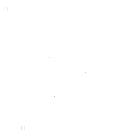 [CH2]CS(=O)(=O)CCN1CCN(CC(=O)O)CCN(CC(=O)O)CC1